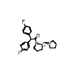 O=C(C(c1ccc(F)cc1)c1ccc(F)cc1)N1CCC[C@H]1CN1CCCC1